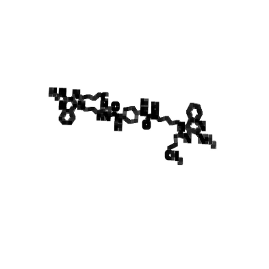 CCCCc1nc2c(N)nc3ccccc3c2n1CCCCNC(=O)NC1CCC(NC(=O)NCCCCn2c(CCCC)nc3c(N)nc4ccccc4c32)CC1